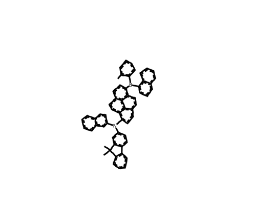 Cc1ccccc1B(c1cccc2ccccc12)c1ccc2ccc3c(N(c4ccc5c(c4)C(C)(C)c4ccccc4-5)c4ccc5ccccc5c4)ccc4ccc1c2c43